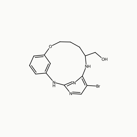 OCC1CCCOc2cccc(c2)Nc2ncc(Br)c(n2)N1